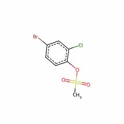 CS(=O)(=O)Oc1ccc(Br)cc1Cl